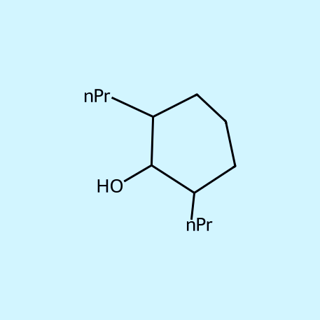 CCCC1CCCC(CCC)C1O